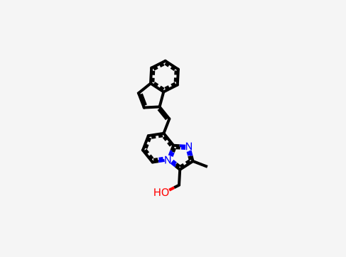 Cc1nc2c(/C=C3\C=Cc4ccccc43)cccn2c1CO